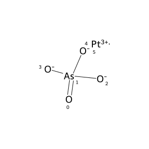 O=[As]([O-])([O-])[O-].[Pt+3]